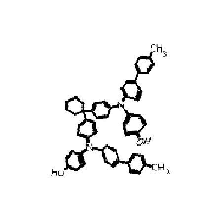 Cc1ccc(-c2ccc(N(c3ccc(O)cc3)c3ccc(C4(c5ccc(N(c6ccc(O)cc6)c6ccc(-c7ccc(C)cc7)cc6)cc5)CCCCC4)cc3)cc2)cc1